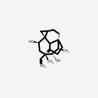 C=C[C@]1(C)C[C@@H](O)[C@]23CC2CC[C@]2(CCC(=O)C23)[C@@H](C)[C@@H]1O